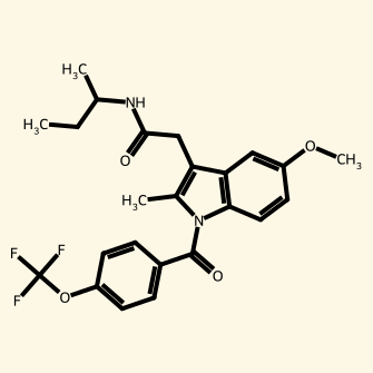 CCC(C)NC(=O)Cc1c(C)n(C(=O)c2ccc(OC(F)(F)F)cc2)c2ccc(OC)cc12